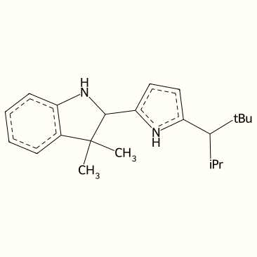 CC(C)C(c1ccc(C2Nc3ccccc3C2(C)C)[nH]1)C(C)(C)C